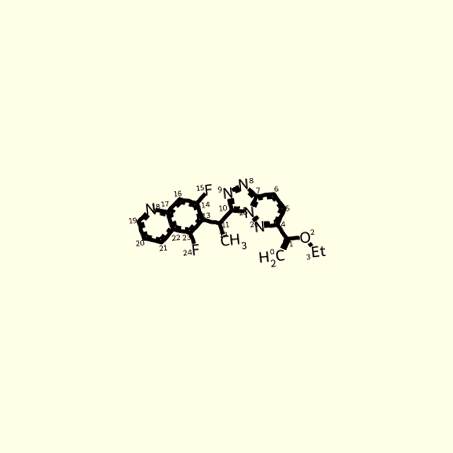 C=C(OCC)c1ccc2nnc(C(C)c3c(F)cc4ncccc4c3F)n2n1